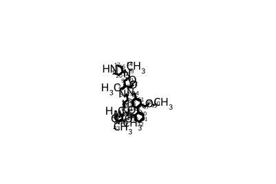 CCCCc1nc(C)c(CC(=O)N(CC)C2CCNCC2)c(=O)n1Cc1ccc(-c2ccccc2S(=O)(=O)Nc2noc(C)c2C)c(COCC)c1